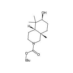 CC(C)(C)OC(=O)N1CC[C@@H]2C(C)(C)[C@@H](O)CC[C@]2(C)C1